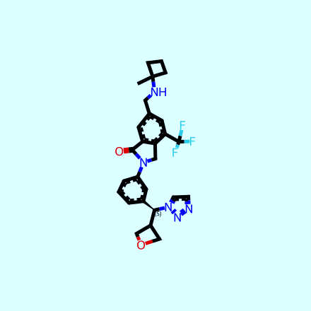 CC1(NCc2cc3c(c(C(F)(F)F)c2)CN(c2cccc([C@H](C4COC4)n4ccnn4)c2)C3=O)CCC1